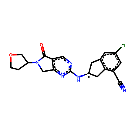 N#Cc1cc(Cl)cc2c1C[C@@H](Nc1ncc3c(n1)CN(C1CCOC1)C3=O)C2